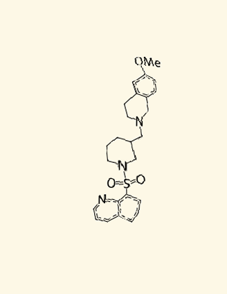 COc1ccc2c(c1)CCN(CC1CCCN(S(=O)(=O)c3cccc4cccnc34)C1)C2